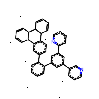 C1=CC2c3ccc(-c4ccccc4-c4cc(-c5cccnc5)cc(-c5ccccn5)c4)cc3C3C=CC=CC3C2C=C1